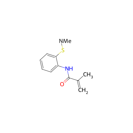 C=C(C)C(=O)Nc1ccccc1SNC